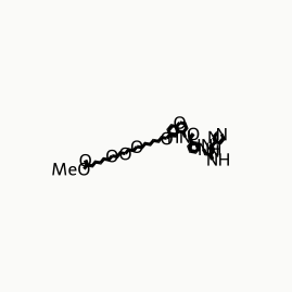 COC(=O)CCCCCOCCOCCOCCCCCCOc1ccc2c(c1)C(NC(=O)c1cccc(NCC(=N)N(C)C(=N)c3ccncn3)c1)CCO2